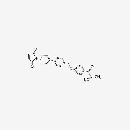 C=C(C)C(=O)c1ccc(OCc2ccc(C3=CCC(N4C(=O)C=CC4=O)CC3)cc2)cc1